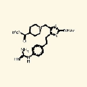 CNC(=O)C1CCN(Cc2sc(NC(C)=O)nc2CCc2ccc(NC(=N)N)cc2)CC1